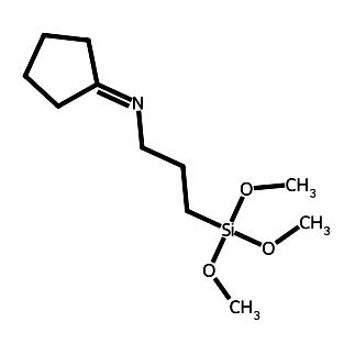 CO[Si](CCCN=C1CCCC1)(OC)OC